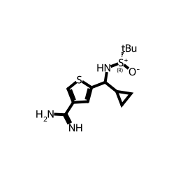 CC(C)(C)[S@+]([O-])NC(c1cc(C(=N)N)cs1)C1CC1